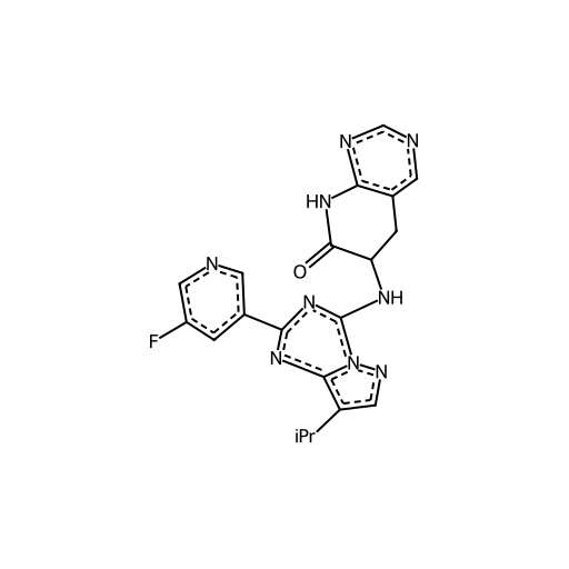 CC(C)c1cnn2c(NC3Cc4cncnc4NC3=O)nc(-c3cncc(F)c3)nc12